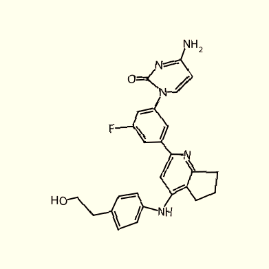 Nc1ccn(-c2cc(F)cc(-c3cc(Nc4ccc(CCO)cc4)c4c(n3)CCC4)c2)c(=O)n1